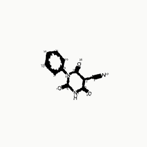 N#CC1C(=O)NC(=O)N(c2ccccc2)C1=O